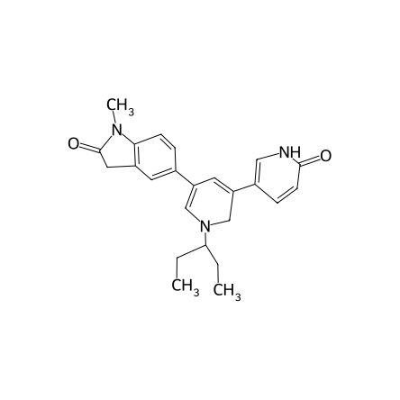 CCC(CC)N1C=C(c2ccc3c(c2)CC(=O)N3C)C=C(c2ccc(=O)[nH]c2)C1